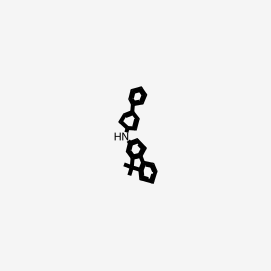 CC1(C)c2ccccc2-c2ccc(NC3C=CC(c4ccccc4)=CC3)cc21